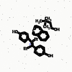 CC/C(=C(/CC)c1ccc(O)cc1)c1ccc(O)cc1.C[N+](C)(C)CCO.c1ccc2ccccc2c1